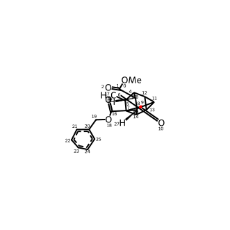 COC(=O)[C@@H]1C2C(C)C3CC(=O)C4C2C4C3[C@@H]1C(=O)OCc1ccccc1